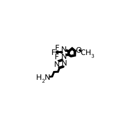 COc1ccc2c(c1)nc(C(F)(F)F)n2-c1cnc(CCCN)cn1